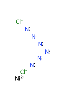 [Cl-].[Cl-].[N].[N].[N].[N].[N].[N].[Ni+2]